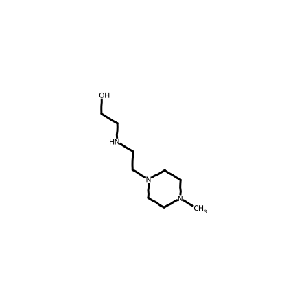 CN1CCN(CCNCCO)CC1